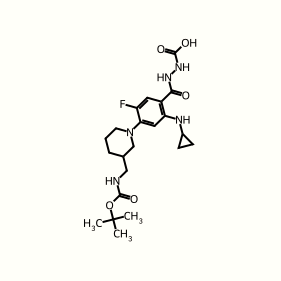 CC(C)(C)OC(=O)NCC1CCCN(c2cc(NC3CC3)c(C(=O)NNC(=O)O)cc2F)C1